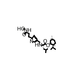 CC(C)C[C@H](NCc1ccc(CCC(=O)NO)nc1)C(=O)O[C@@H]1C[C@H](C)CC[C@H]1C(C)C